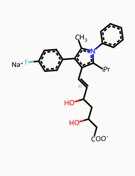 Cc1c(-c2ccc(F)cc2)c(/C=C/C(O)CC(O)CC(=O)[O-])c(C(C)C)n1-c1ccccc1.[Na+]